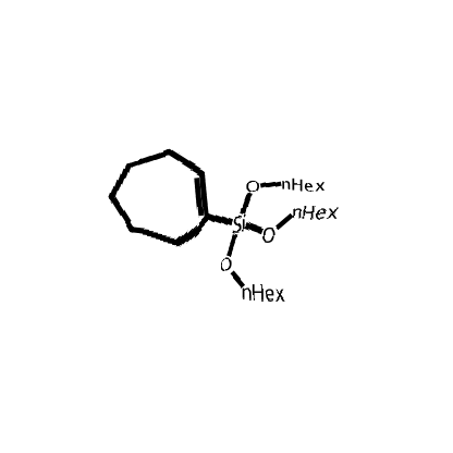 CCCCCCO[Si](OCCCCCC)(OCCCCCC)C1=CCCCCC1